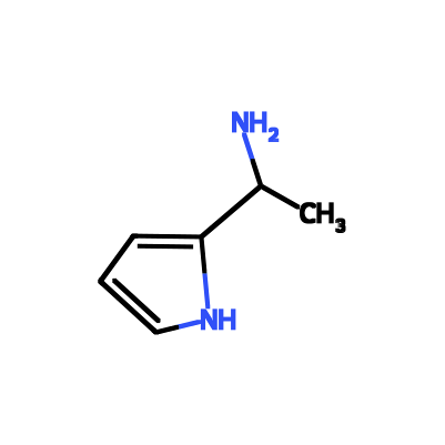 CC(N)c1ccc[nH]1